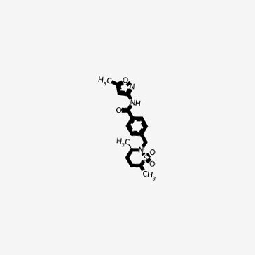 Cc1cc(NC(=O)c2ccc(CN3[C@@H](C)CCC(C)S3(=O)=O)cc2)no1